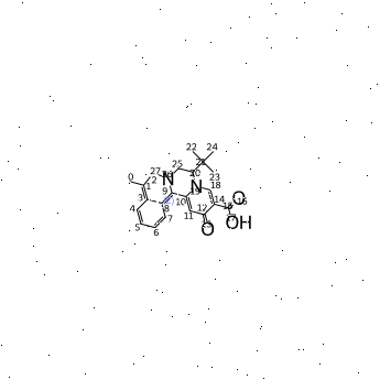 CC(C)=c1cccc/c1=C1\c2cc(=O)c(C(=O)O)cn2C(C(C)(C)C)CN1C